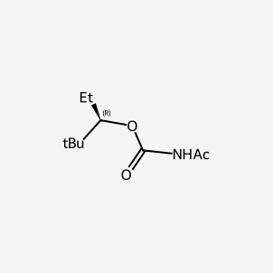 CC[C@@H](OC(=O)NC(C)=O)C(C)(C)C